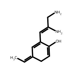 CC=C1C=C(C=C(N)CN)C(O)=CC1